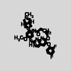 C=CC(=O)Nc1cc(Nc2ncc3cc(Oc4ccc(F)cc4F)c(OC4CC4)nc3n2)c(OC)cc1N1C[C@H]2CN(C)C[C@H]2C1